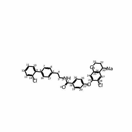 O=C(NCCc1ccc(-c2ccccc2Cl)cc1)c1ccc(Oc2cc3c(cc2Cl)[CH]([Na])CCO3)cc1